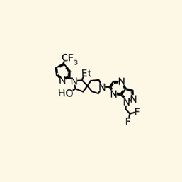 CCC1N(c2cc(C(F)(F)F)ccn2)C(O)CC12CCN(c1cnc3cnn(CC(F)F)c3n1)CC2